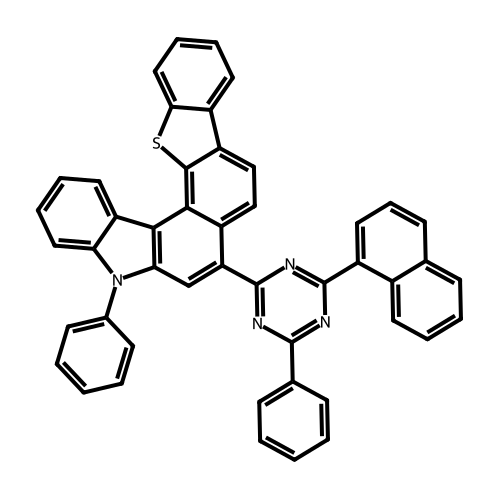 c1ccc(-c2nc(-c3cccc4ccccc34)nc(-c3cc4c(c5ccccc5n4-c4ccccc4)c4c3ccc3c5ccccc5sc34)n2)cc1